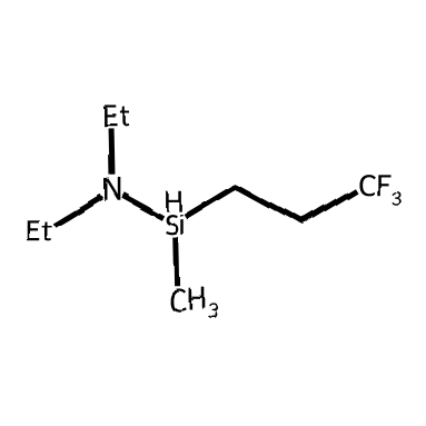 CCN(CC)[SiH](C)CCC(F)(F)F